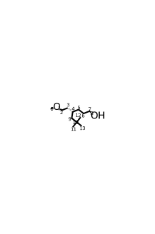 COCC[C@H](CCCO)CC(C)(C)C